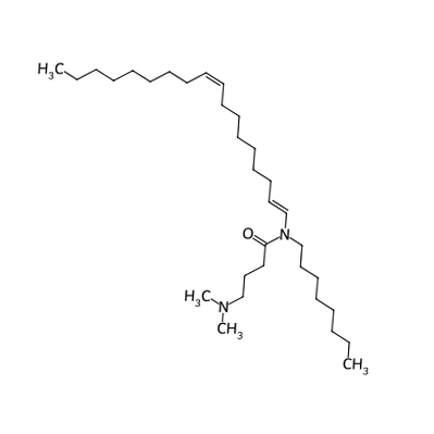 CCCCCCCC/C=C\CCCCCC/C=C/N(CCCCCCCC)C(=O)CCCN(C)C